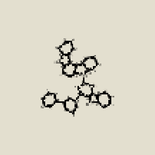 c1ccc(-c2cccc(-c3nc(-n4c5ccccc5c5c6c(ccc54)sc4ccccc46)nc4c3sc3ccccc34)c2)cc1